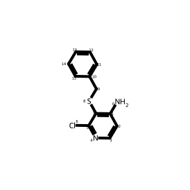 Nc1ccnc(Cl)c1SCc1ccccc1